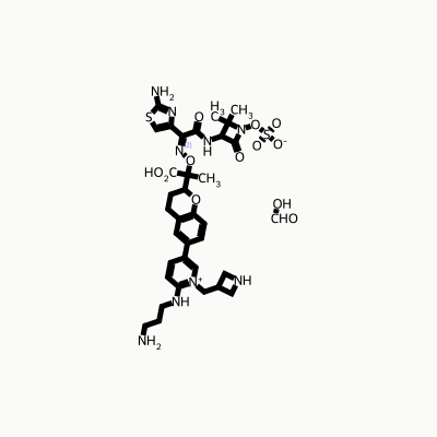 CC(O/N=C(\C(=O)NC1C(=O)N(OS(=O)(=O)[O-])C1(C)C)c1csc(N)n1)(C(=O)O)C1CCc2cc(-c3ccc(NCCCN)[n+](CC4CNC4)c3)ccc2O1.O=CO